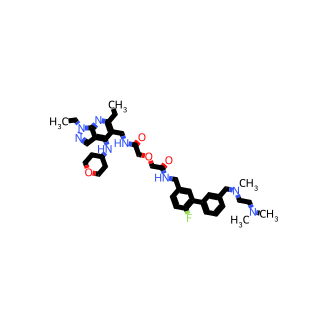 CCc1nc2c(cnn2CC)c(NC2CCOCC2)c1CNC(=O)COCC(=O)NCc1ccc(F)c(-c2cccc(CN(C)CCN(C)C)c2)c1